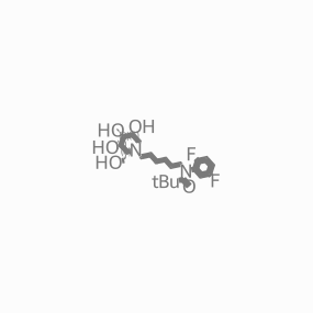 CC(C)(C)C(=O)N(CCCCCCN1C[C@H](O)[C@@H](O)[C@H](O)[C@H]1CO)c1cc(F)ccc1F